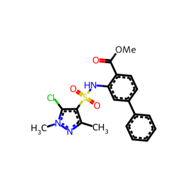 COC(=O)c1ccc(-c2ccccc2)cc1NS(=O)(=O)c1c(C)nn(C)c1Cl